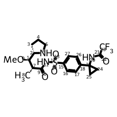 CO[C@@H]([C@@H]1CCCN1)[C@@H](C)C(=O)NS(=O)(=O)c1ccc(C2(NC(=O)C(F)(F)F)CC2)cc1